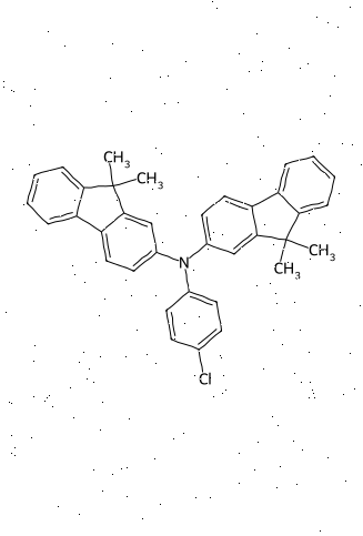 CC1(C)c2ccccc2-c2ccc(N(c3ccc(Cl)cc3)c3ccc4c(c3)C(C)(C)c3ccccc3-4)cc21